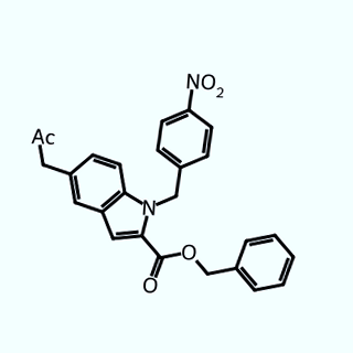 CC(=O)Cc1ccc2c(c1)cc(C(=O)OCc1ccccc1)n2Cc1ccc([N+](=O)[O-])cc1